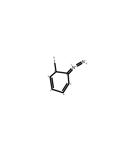 [N-]=[N+]=C1C=CC=CC1I